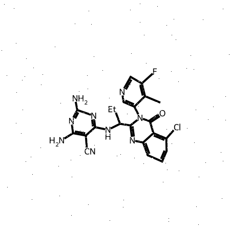 CCC(Nc1nc(N)nc(N)c1C#N)c1nc2cccc(Cl)c2c(=O)n1-c1cncc(F)c1C